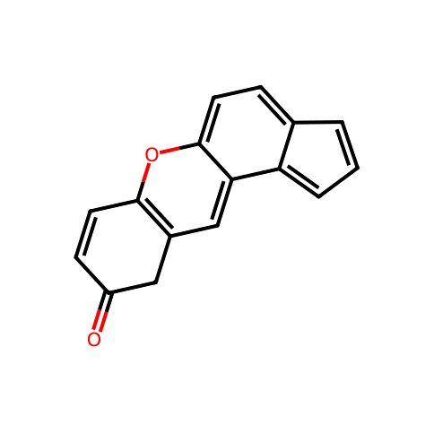 O=C1C=Cc2oc3ccc4cccc4c3cc2C1